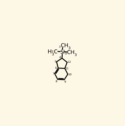 C[Si](C)(C)C1CC2=CC=CCC2C1